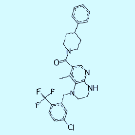 Cc1c(C(=O)N2CCC(c3ccccc3)CC2)cnc2c1N(Cc1cc(Cl)ccc1C(F)(F)F)CCN2